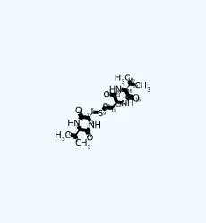 CC(C)[C@H]1NC(=O)[C@H](CSSC[C@@H]2NC(=O)[C@@H](C(C)C)NC2=O)NC1=O